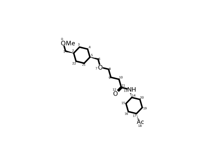 COC[C@H]1CC[C@@H](COCCCC(=O)N[C@H]2CC[C@@H](C(C)=O)CC2)CC1